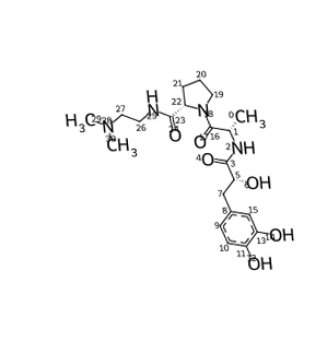 C[C@H](NC(=O)[C@H](O)Cc1ccc(O)c(O)c1)C(=O)N1CCC[C@H]1C(=O)NCCN(C)C